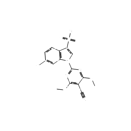 COc1nc(-n2cc(S(N)(=O)=O)c3ccc(Cl)cc32)nc(OC)c1C#N